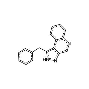 c1ccc(Cc2[nH]nc3cnc4ccccc4c23)cc1